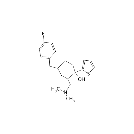 CN(C)CC1CC(Cc2ccc(F)cc2)CCC1(O)c1cccs1